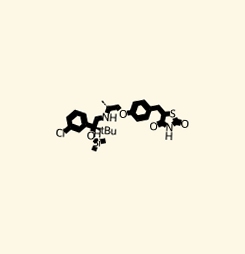 C[C@H](COc1ccc(CC2SC(=O)NC2=O)cc1)NC[C@](O[SiH](C)C)(c1cccc(Cl)c1)C(C)(C)C